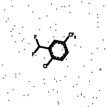 FC(F)c1cc(C(F)(F)F)ccc1Cl